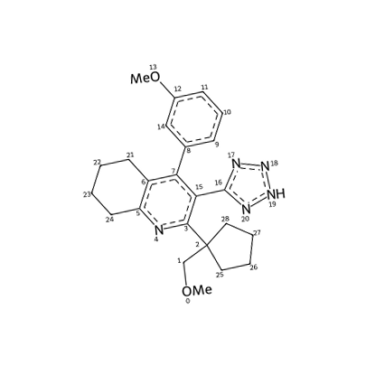 COCC1(c2nc3c(c(-c4cccc(OC)c4)c2-c2nn[nH]n2)CCCC3)CCCC1